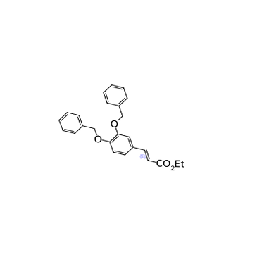 CCOC(=O)/C=C/c1ccc(OCc2ccccc2)c(OCc2ccccc2)c1